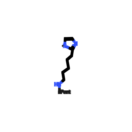 CCCCCNCCCCCC1=NC=C[N]1